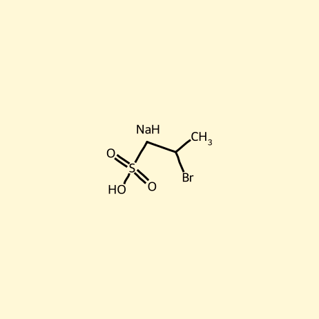 CC(Br)CS(=O)(=O)O.[NaH]